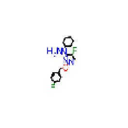 NN(c1nc(OCc2ccc(F)cc2)ncc1F)C1CCCCC1